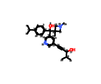 CC(C)c1ccc(C(O)(c2cncc(C#CC(O)C(C)C)c2)C2(C)CN(C)C2)cc1